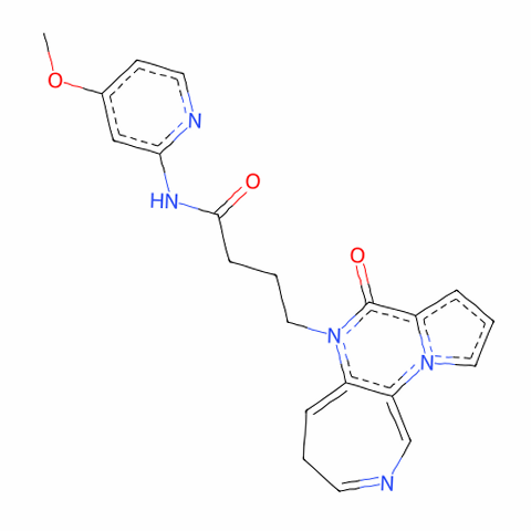 COc1ccnc(NC(=O)CCCn2c3c(n4cccc4c2=O)=CN=CCC=3)c1